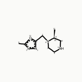 Cc1nnc(CN2CCNC[C@@H]2C)o1